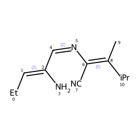 CC/C=C(N)/C=N\C(C#N)=C(/C)C(C)C